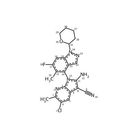 Cc1nc2c(cc1Cl)c(C#N)c(N)n2-c1c(C)c(F)cc2c1cnn2C1CCCCO1